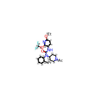 CCOc1ccc(NC(=O)N(c2ccccc2C(C)C)C2CCN(C(C)=O)CC2)c(OC(F)F)n1